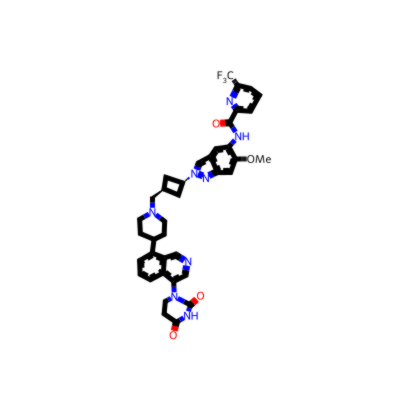 COc1cc2nn([C@H]3C[C@H](CN4CCC(c5cccc6c(N7CCC(=O)NC7=O)cncc56)CC4)C3)cc2cc1NC(=O)c1cccc(C(F)(F)F)n1